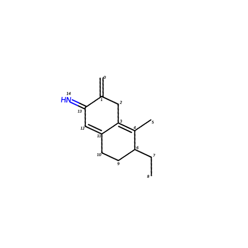 C=C1CC2=C(C)C(CC)CCC2=CC1=N